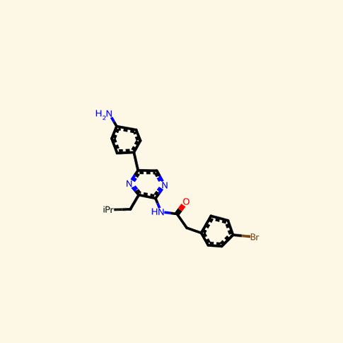 CC(C)Cc1nc(-c2ccc(N)cc2)cnc1NC(=O)Cc1ccc(Br)cc1